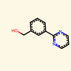 OCc1cccc(-c2ncccn2)c1